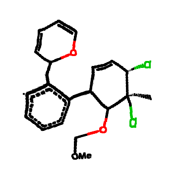 COCOC1C(c2ccc[c]c2C2C=CC=CO2)C=C[C@H](Cl)[C@@]1(C)Cl